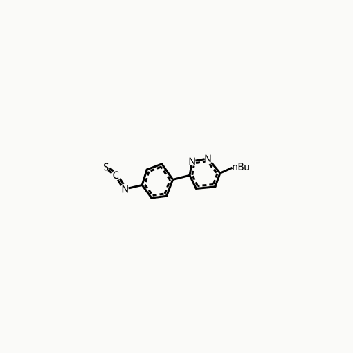 CCCCc1ccc(-c2ccc(N=C=S)cc2)nn1